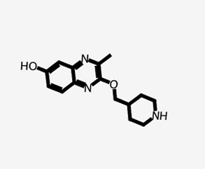 Cc1nc2cc(O)ccc2nc1OCC1CCNCC1